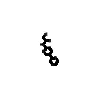 O=C(CCl)Nc1ccc(-c2cnccn2)cn1